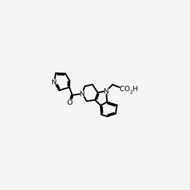 O=C(O)Cn1c2c(c3ccccc31)CN(C(=O)c1cccnc1)CC2